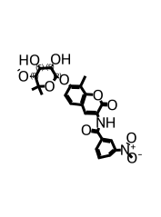 CO[C@@H]1[C@@H](O)[C@H](O)[C@H](Oc2ccc3cc(NC(=O)c4cccc([N+](=O)[O-])c4)c(=O)oc3c2C)OC1(C)C